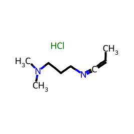 CC=C=NCCCN(C)C.Cl